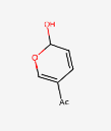 CC(=O)C1=COC(O)C=C1